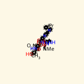 CNCCOc1nc2[nH]ccc2cc1Oc1cc(N2CCC3(CC2)CC(N2CCC[C@@H]2c2ccccc2C(C)C)C3)ccc1C(=O)NS(=O)(=O)c1cc2c(c([N+](=O)[O-])c1)N[C@@H]([C@H]1CC[C@](C)(O)CC1)CO2